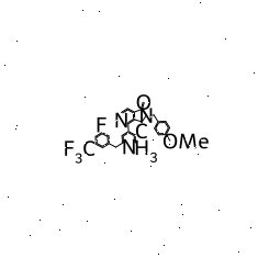 COc1ccc(CN2Cc3c(ccnc3-c3cc(Cc4cc(F)cc(C(F)(F)F)c4)ncc3C)C2=O)cc1